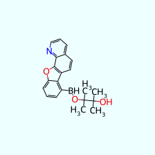 CC(C)(O)C(C)(C)OBc1cccc2oc3c(ccc4cccnc43)c12